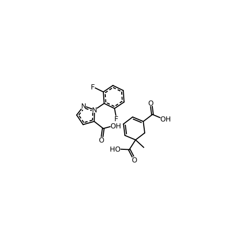 CC1(C(=O)O)C=CC=C(C(=O)O)C1.O=C(O)c1ccnn1-c1c(F)cccc1F